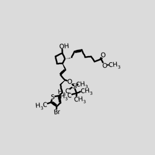 COC(=O)CCC/C=C\C[C@H]1C(O)CC[C@@H]1/C=C/[C@H](CCc1cc(Br)c(C)s1)O[Si](C)(C)C(C)(C)C